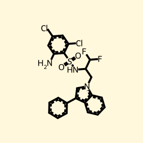 Nc1cc(Cl)cc(Cl)c1S(=O)(=O)NC(Cn1cc(-c2ccccc2)c2ccccc21)C(F)F